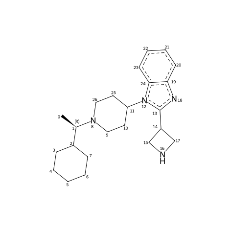 C[C@H](C1CCCCC1)N1CCC(n2c(C3CNC3)nc3ccccc32)CC1